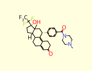 CN1CCN(C(=O)c2ccc([C@H]3CC4(C)[C@@H](CC[C@@]4(O)C(F)(F)C(F)(F)F)C4CCC5=CC(=O)CCC5=C43)cc2)CC1